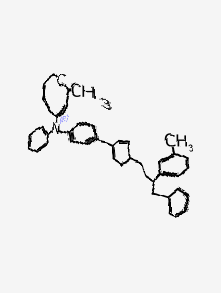 Cc1cccc(C(CCC2C=CC(c3ccc(N(/C4=C/C(C)CCC=C=C4)c4ccccc4)cc3)=CC2)CC2=CC=CCC2)c1